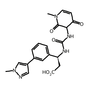 CN1C=CC(=O)C(NC(=O)N[C@@H](CC(=O)O)c2cccc(-c3cnn(C)c3)c2)C1=O